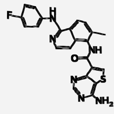 Cc1ccc2c(Nc3ccc(F)cc3)nccc2c1NC(=O)c1csc2c(N)ncnc12